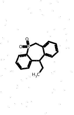 CCC1c2ccccc2CS(=O)(=O)c2ccccc21